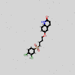 O=c1ccc2cc(OCCCCS(=O)(=O)c3ccc(Cl)c(Cl)c3)ccc2[nH]1